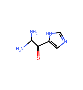 NC(N)C(=O)c1cnc[nH]1